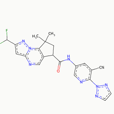 CC1(C)CC(C(=O)Nc2cnc(-n3nccn3)c(C#N)c2)c2cnc3cc(C(F)F)nn3c21